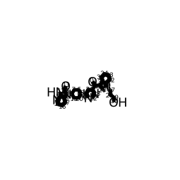 O=C(c1cc(N2CCC(n3c(=O)[nH]c4ncccc43)CC2)ncn1)c1cn(CCCO)c2ccccc12